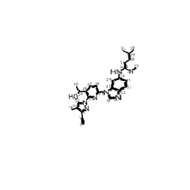 C#Cc1nn(-c2nc(-n3cnc4ccc(N/C(=C/C=C(C)C)N=C)cc43)ccc2C(C)O)cc1C